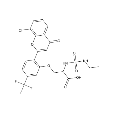 CCNS(=O)(=O)NC(COc1cc(C(F)(F)F)ccc1-c1cc(=O)c2cccc(Cl)c2o1)C(=O)O